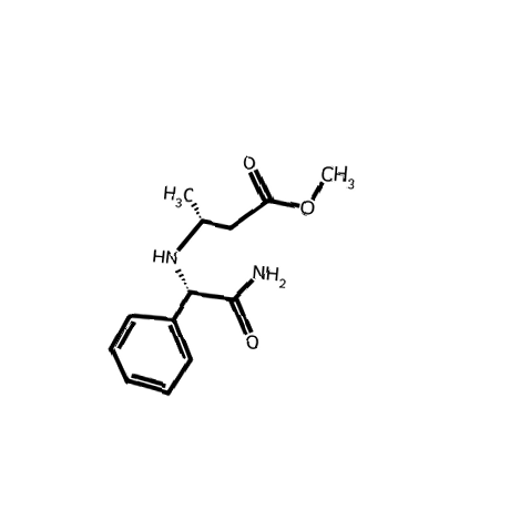 COC(=O)C[C@@H](C)N[C@H](C(N)=O)c1ccccc1